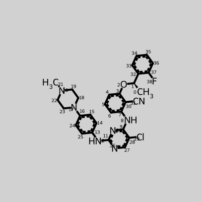 C[C@@H](Oc1cccc(Nc2nc(Nc3ccc(N4CCN(C)CC4)cc3)ncc2Cl)c1C#N)c1ccccc1F